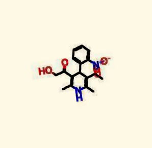 CC(=O)C1=C(C)NC(C)=C(C(=O)CO)C1c1ccccc1[N+](=O)[O-]